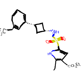 CCOC(=O)c1cc(S(=O)(=O)N[C@H]2C[C@@H](c3cccc(C(F)(F)F)c3)C2)[nH]c1C